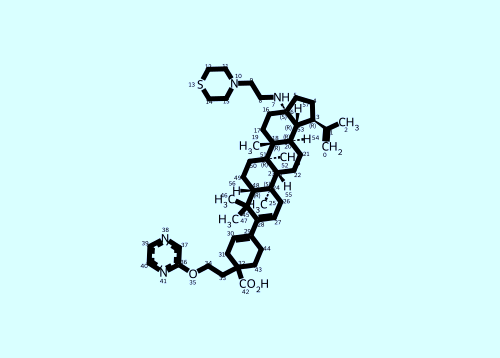 C=C(C)[C@@H]1CC[C@]2(NCCN3CCSCC3)CC[C@]3(C)[C@H](CC[C@@H]4[C@@]5(C)CC=C(C6=CCC(CCOc7cnccn7)(C(=O)O)CC6)C(C)(C)[C@@H]5CC[C@]43C)[C@@H]12